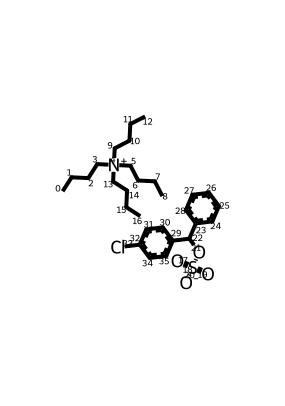 CCCC[N+](CCCC)(CCCC)CCCC.O=S(=O)([O-])OC(c1ccccc1)c1ccc(Cl)cc1